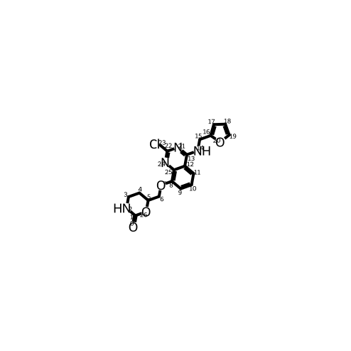 O=C1NCCC(COc2cccc3c(NCc4ccco4)nc(Cl)nc23)O1